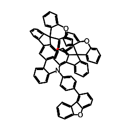 c1ccc2c(c1)Oc1ccccc1C21c2ccccc2-c2cc(-c3ccccc3N(c3ccc(-c4cccc5oc6ccccc6c45)cc3)c3cccc4c3-c3ccccc3C43c4ccccc4Oc4ccccc43)ccc21